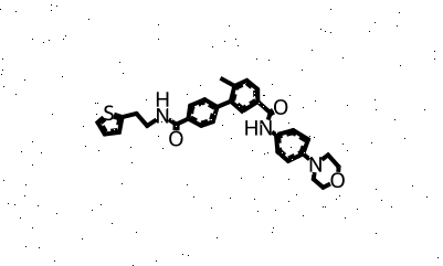 Cc1ccc(C(=O)Nc2ccc(N3CCOCC3)cc2)cc1-c1ccc(C(=O)NCCc2cccs2)cc1